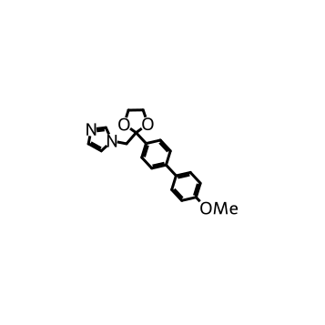 COc1ccc(-c2ccc(C3(Cn4ccnc4)OCCO3)cc2)cc1